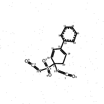 O=C=NC1(S(=O)(=O)N=C=O)C=CC(c2ccccc2)=CC1